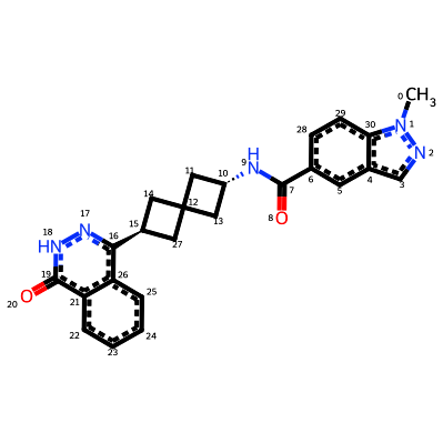 Cn1ncc2cc(C(=O)N[C@H]3CC4(C3)C[C@H](c3n[nH]c(=O)c5ccccc53)C4)ccc21